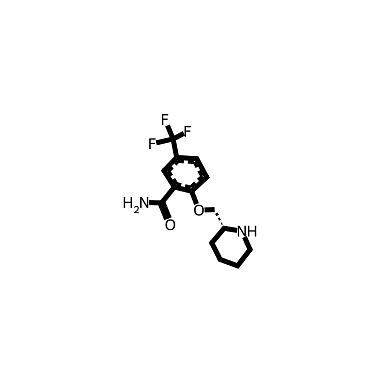 NC(=O)c1cc(C(F)(F)F)ccc1OC[C@H]1CCCCN1